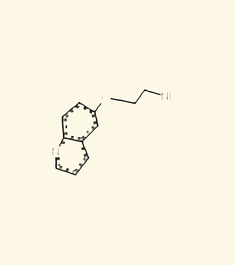 NCCOc1ccc2ncccc2c1